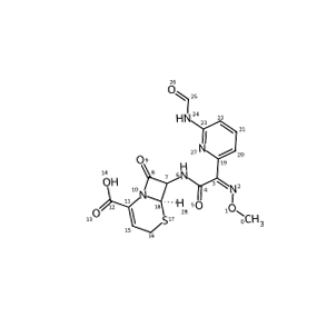 CO/N=C(\C(=O)NC1C(=O)N2C(C(=O)O)=CCS[C@H]12)c1cccc(NC=O)n1